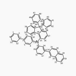 c1ccc(-c2ccc(N(c3cccc(-c4ccc5ccccc5c4)c3)c3cccc4c3-c3ccccc3C4(c3ccccc3)c3ccccc3)cc2)cc1